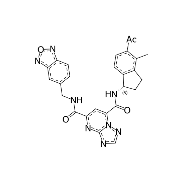 CC(=O)c1ccc2c(c1C)CC[C@@H]2NC(=O)c1cc(C(=O)NCc2ccc3nonc3c2)nc2ncnn12